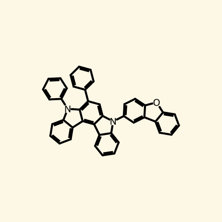 c1ccc(-c2cc3c(c4ccccc4n3-c3ccc4oc5ccccc5c4c3)c3c4ccccc4n(-c4ccccc4)c23)cc1